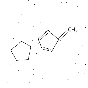 C1CCCC1.C=C1C=CC=C1